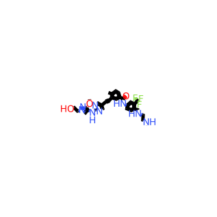 CNCCNCc1ccc(NC(=O)c2ccc(C)c(C#Cc3cnc(Nc4cn(CCO)nc4OC)nc3)c2)cc1C(F)(F)F